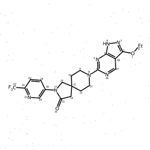 CCOc1n[nH]c2nc(N3CCC4(CC3)CC(=O)N(c3ccc(C(F)(F)F)nc3)C4)ncc12